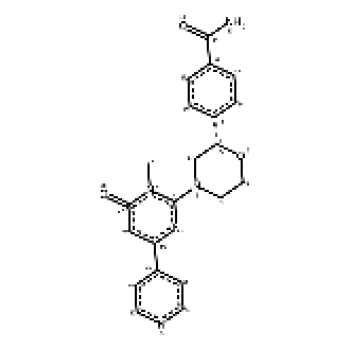 Cn1c(N2CCO[C@@H](c3ccc(C(N)=O)cc3)C2)nc(-c2ccncc2)cc1=O